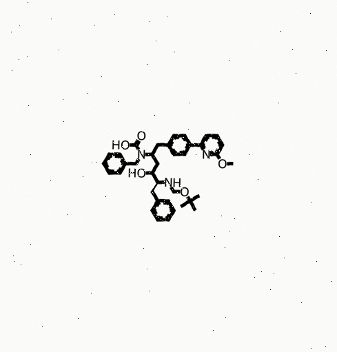 COc1cccc(-c2ccc(CC(CC(O)[C@H](Cc3ccccc3)NCOC(C)(C)C)N(Cc3ccccc3)C(=O)O)cc2)n1